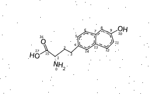 N[C@@H](CCc1ccc2cc(O)ccc2c1)C(=O)O